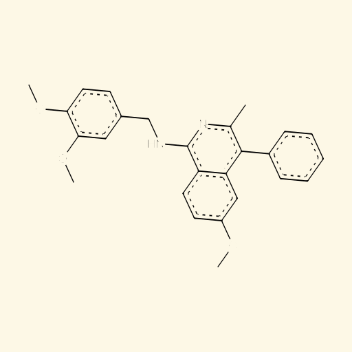 COc1ccc2c(NCc3ccc(OC)c(OC)c3)nc(C)c(-c3ccccc3)c2c1